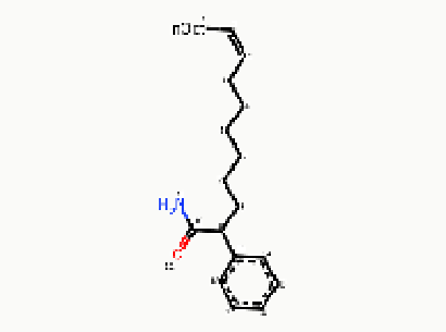 CCCCCCCC/C=C\CCCCCCC(C(N)=O)c1ccccc1